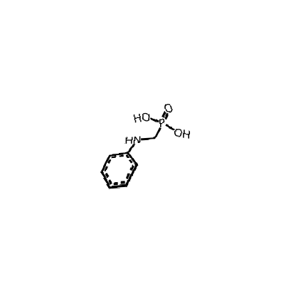 O=P(O)(O)CNc1ccccc1